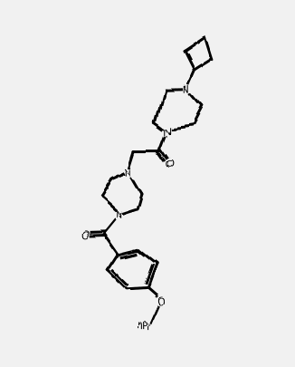 CCCOc1ccc(C(=O)N2CCN(CC(=O)N3CCN(C4CCC4)CC3)CC2)cc1